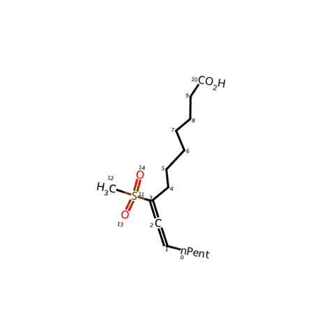 CCCCCC=C=C(CCCCCCC(=O)O)S(C)(=O)=O